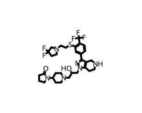 O=C1CCCN1C1CCN(CC(O)Cn2nc(-c3ccc(C(F)(F)F)c(SCCN4CCC(F)(F)C4)c3)c3c2CCNC3)CC1